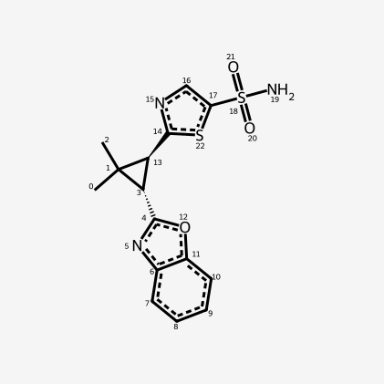 CC1(C)[C@@H](c2nc3ccccc3o2)[C@@H]1c1ncc(S(N)(=O)=O)s1